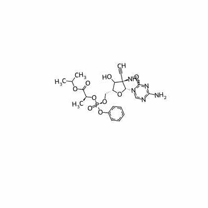 C#C[C@@]1(N)C(O)[C@@H](CO[P@](=O)(Oc2ccccc2)O[C@@H](C)C(=O)OC(C)C)O[C@H]1n1cnc(N)nc1=O